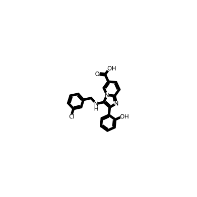 O=C(O)c1ccc2nc(-c3ccccc3O)c(NCc3cccc(Cl)c3)n2c1